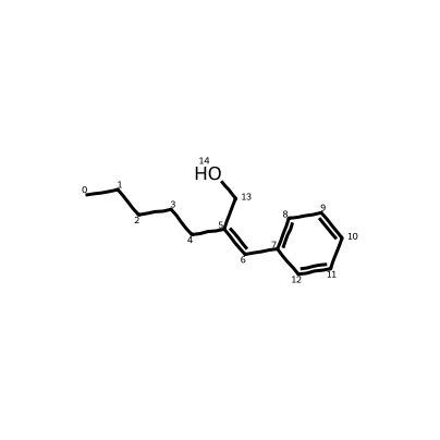 CCCCCC(=Cc1ccccc1)CO